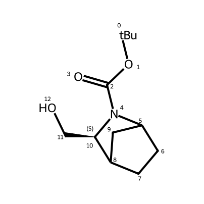 CC(C)(C)OC(=O)N1C2CCC(C2)[C@H]1CO